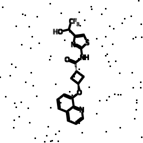 O=C(Nc1nc(C(O)C(F)(F)F)cs1)[C@H]1C[C@H](Oc2cccc3cccnc23)C1